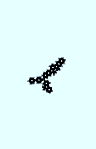 CC1(C)c2ccccc2-c2ccc(N(c3ccc(-c4ccccc4)cc3)c3ccc4cc5c(cc4c3)C(C)(C)c3c-5ccc4c3C(C)(C)c3cc5ccccc5cc3-4)cc21